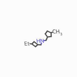 CCC1CC(CNCC2CCC(C)C2)C1